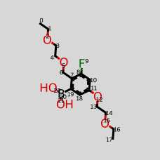 CCOCCOCc1c(F)cc(OCCOCC)cc1B(O)O